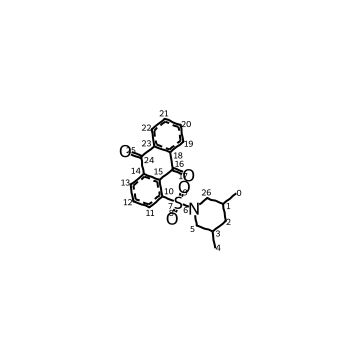 CC1CC(C)CN(S(=O)(=O)c2cccc3c2C(=O)c2ccccc2C3=O)C1